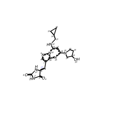 O=C1NC(=O)/C(=C/c2cnn3c(NCC4CC4)cc(N4CCC(O)C4)nc23)N1